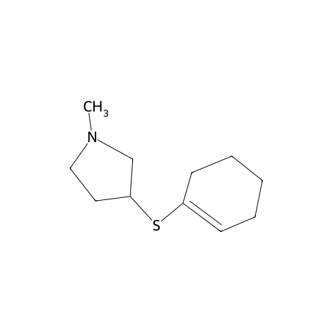 CN1CCC(SC2=CCCCC2)C1